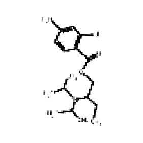 CCC(COC(=O)c1ccc(N)cc1Cl)N(C(C)C)C(C)C